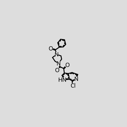 O=C(C(=O)N1CCN(C(=O)c2ccccc2)CC1)c1c[nH]c2c(Cl)nccc12